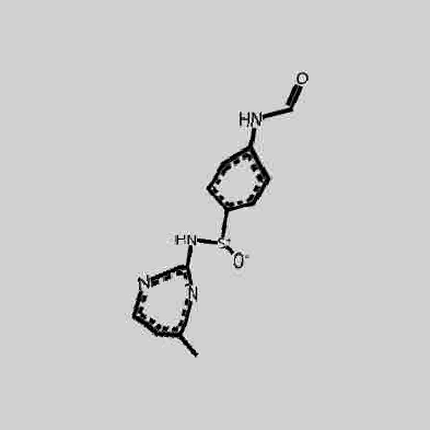 Cc1ccnc(N[S+]([O-])c2ccc(NC=O)cc2)n1